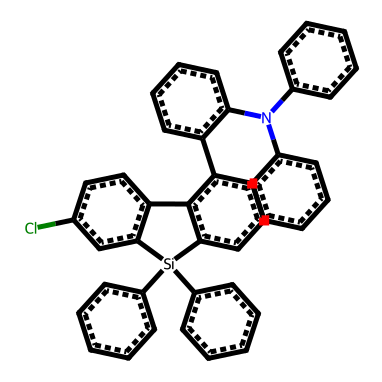 Clc1ccc2c(c1)[Si](c1ccccc1)(c1ccccc1)c1cccc(-c3ccccc3N(c3ccccc3)c3ccccc3)c1-2